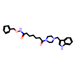 O=C(CCCCCC(=O)N1CCN(Cc2c[nH]c3ccccc23)CC1)NOCc1ccccc1